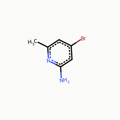 Cc1cc(Br)cc(N)n1